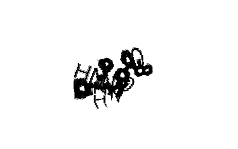 c1ccc(C2N=C(c3cncc4oc5cc(-c6cccc7oc8c9ccccc9ccc8c67)ccc5c34)NC(c3ccccc3)N2)cc1